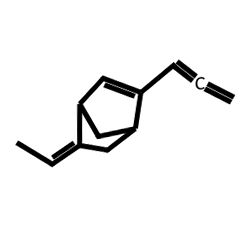 C=C=CC1=CC2CC1CC2=CC